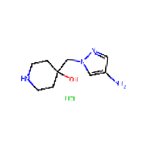 Cl.Nc1cnn(CC2(O)CCNCC2)c1